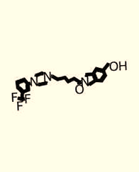 O=C(CCCCCN1CCN(c2cccc(C(F)(F)F)c2)CC1)N1Cc2ccc(CO)cc2C1